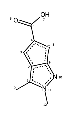 Cc1c2cc(C(=O)O)sc2nn1C